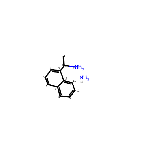 CC(N)c1cccc2ccccc12.N